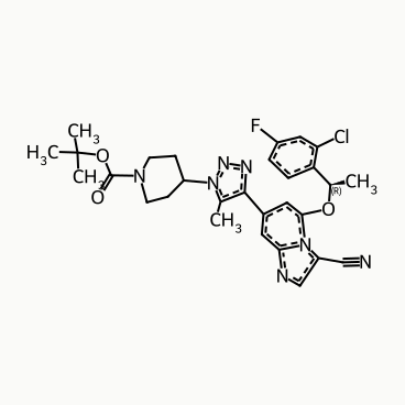 Cc1c(-c2cc(O[C@H](C)c3ccc(F)cc3Cl)n3c(C#N)cnc3c2)nnn1C1CCN(C(=O)OC(C)(C)C)CC1